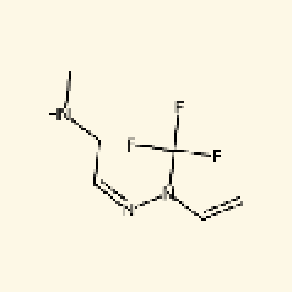 C=CN(/N=C\CNC)C(F)(F)F